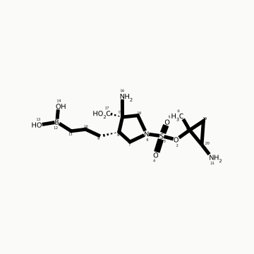 CC1(OS(=O)(=O)N2C[C@H](CCCB(O)O)[C@](N)(C(=O)O)C2)CC1N